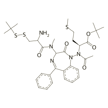 CSCC[C@@H](C(=O)OC(C)(C)C)N(C(C)=O)N1C(=O)C(N(C)C(=O)C(N)CSSC(C)(C)C)N=C(c2ccccc2)c2ccccc21